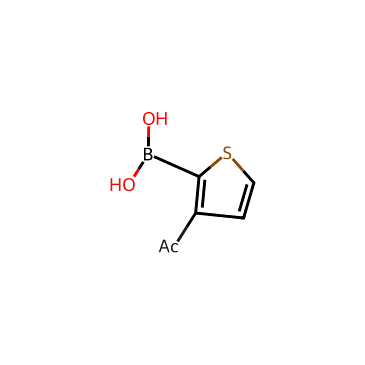 CC(=O)c1ccsc1B(O)O